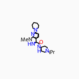 CNc1nc(N2CCCCCC2)ccc1C(=N)C(=O)NC1CCN(C(C)C)CC1